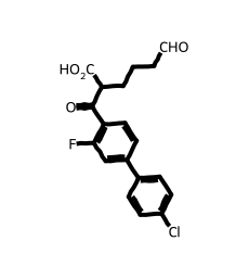 O=CCCCC(C(=O)O)C(=O)c1ccc(-c2ccc(Cl)cc2)cc1F